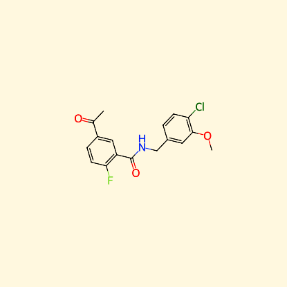 COc1cc(CNC(=O)c2cc(C(C)=O)ccc2F)ccc1Cl